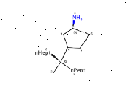 CCCCCCC[C@](C)(CCCCC)C1CC[C@H](N)C1